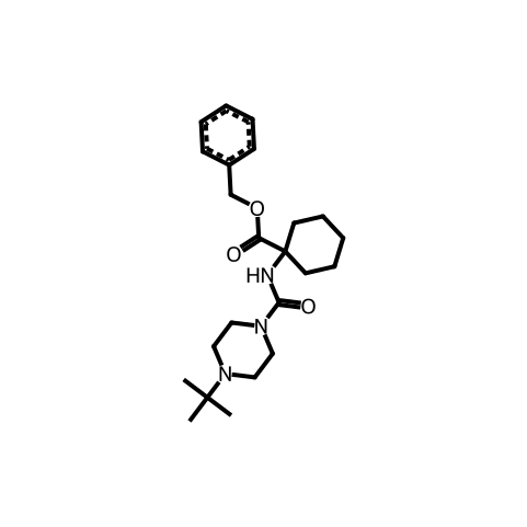 CC(C)(C)N1CCN(C(=O)NC2(C(=O)OCc3ccccc3)CCCCC2)CC1